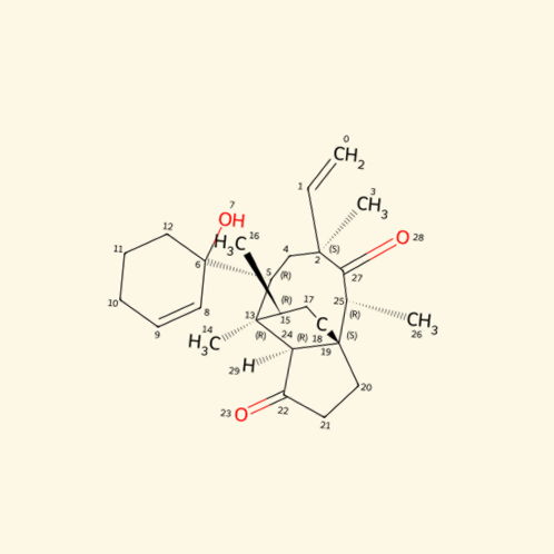 C=C[C@]1(C)C[C@@H](C2(O)C=CCCC2)[C@@]2(C)[C@H](C)CC[C@]3(CCC(=O)[C@H]32)[C@@H](C)C1=O